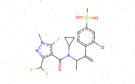 C=C(c1ccc(S(C)(=O)=O)cc1Cl)C(C)N(C(=O)c1c(C(F)F)nn(C)c1F)C1CC1